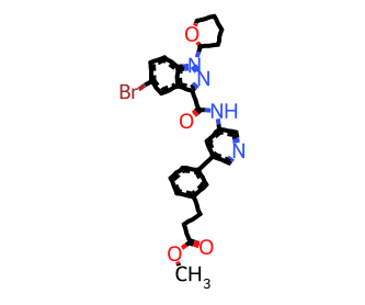 COC(=O)CCc1cccc(-c2cncc(NC(=O)c3nn(C4CCCCO4)c4ccc(Br)cc34)c2)c1